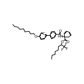 CCCCCCCCCOc1ccc(-c2ccc(C(=O)NC3(C(=O)OC(CCCCCC)C(F)(F)F)C=CC=CC3)cc2)cc1